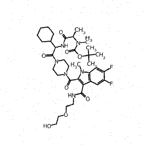 CC(C(=O)NC(C(=O)N1CCN(C(=O)c2c(C(=O)NCCOCCO)c3cc(F)c(F)cc3n2C)CC1)C1CCCCC1)N(C)C(=O)OC(C)(C)C